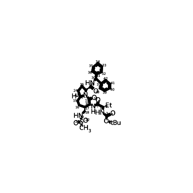 CC[C@H](NC(=O)OC(C)(C)C)C(=O)N[C@@H]1C(=O)N2[C@@H](CC[C@@H]1CNS(C)(=O)=O)CC[C@H]2C(=O)NC(c1ccccc1)c1ccccc1